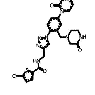 O=C1CN(Cc2cc(-n3ccccc3=O)ccc2-n2cc(CNC(=O)c3ccc(Cl)s3)nn2)CCN1